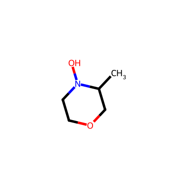 CC1COCCN1O